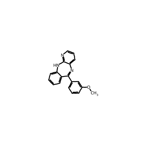 COc1cccc(C2=Nc3cccnc3Nc3ccccc32)c1